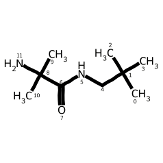 CC(C)(C)CNC(=O)C(C)(C)N